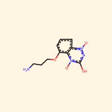 NCCCOc1cccc2c1[n+]([O-])c(O)n[n+]2[O-]